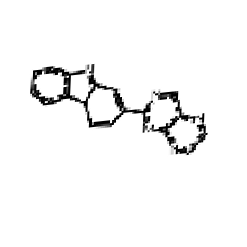 [C]1=C(c2ncc3nccnc3n2)C=CC2C1=Nc1ccccc12